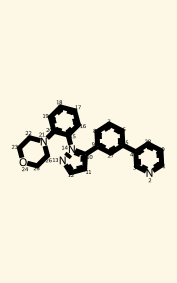 c1cncc(-c2cccc(-c3ccnn3-c3ccccc3N3CCOCC3)c2)c1